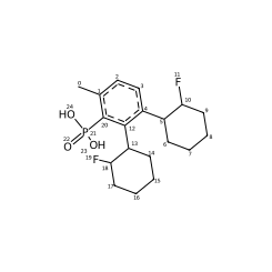 Cc1ccc(C2CCCCC2F)c(C2CCCCC2F)c1P(=O)(O)O